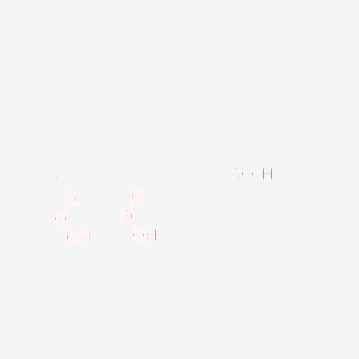 Cc1ccc(-c2ccc(-c3ccc(-c4ccc(C)c(SOOO)c4)c(SOOO)c3)cc2S(=O)(=O)O)cc1